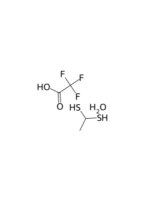 CC(S)S.O.O=C(O)C(F)(F)F